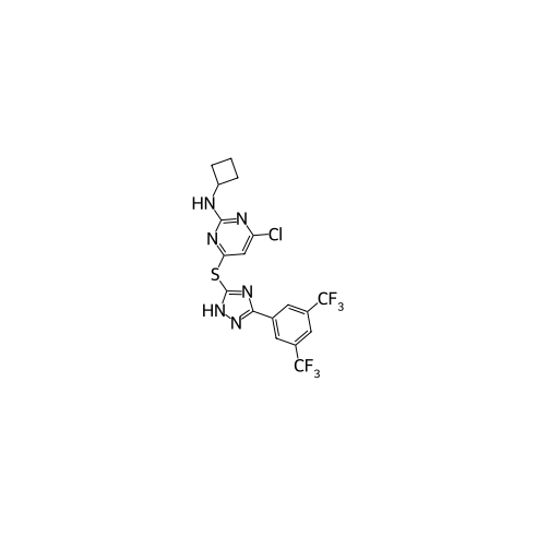 FC(F)(F)c1cc(-c2n[nH]c(Sc3cc(Cl)nc(NC4CCC4)n3)n2)cc(C(F)(F)F)c1